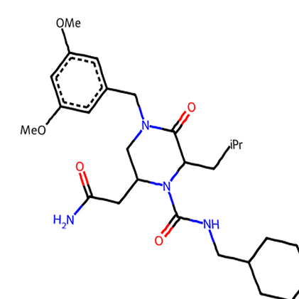 COc1cc(CN2CC(CC(N)=O)N(C(=O)NCC3CCCCC3)C(CC(C)C)C2=O)cc(OC)c1